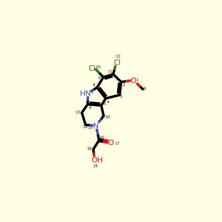 COc1cc2c3c([nH]c2c(Cl)c1Cl)CCN(C(=O)CO)C3